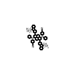 CC1(C)c2ccccc2-c2ccc(-c3cc(N(c4ccccc4)c4ccc(C#N)cc4)c4ccc5c(-c6ccc7c(c6)C(C)(C)c6ccccc6-7)cc(N(c6ccccc6)c6ccc(C#N)cc6)c6ccc3c4c56)cc21